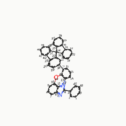 c1ccc(-c2nc3cccc4c3n2-c2cccc(-c3ccc5c(c3)C3(c6ccccc6-c6ccccc63)c3ccccc3-5)c2O4)cc1